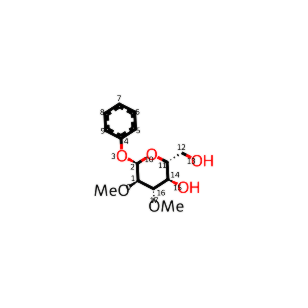 CO[C@H]1[C@@H](Oc2ccccc2)O[C@H](CO)[C@@H](O)[C@@H]1OC